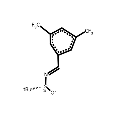 CC(C)(C)[S@@+]([O-])N=Cc1cc(C(F)(F)F)cc(C(F)(F)F)c1